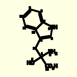 NC(O)(Cc1c[nH]c2ccccc12)C(=O)O